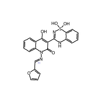 O=c1c(C2=NS(O)(O)c3ccccc3N2)c(O)c2ccccc2n1/N=C/c1ccco1